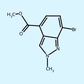 COC(=O)c1ccc(Br)c2nn(C)cc12